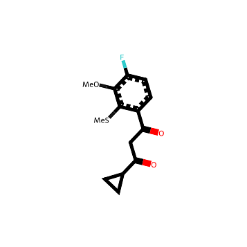 COc1c(F)ccc(C(=O)CC(=O)C2CC2)c1SC